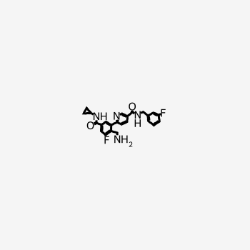 NCc1c(F)cc(C(=O)NC2CC2)cc1-c1ccc(C(=O)NCc2cccc(F)c2)cn1